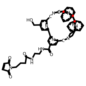 O=C(CCCN1C(=O)C=CC1=O)NCCNC(=O)c1cc2nc(c1)-c1cc(CO)cc(n1)CN1Cc3cccc(n3)-c3cccc(n3)CN(Cc3cccc(n3)-c3cccc(n3)C1)C2